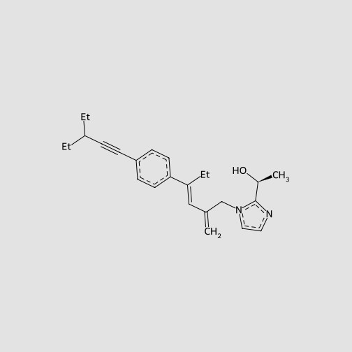 C=C(/C=C(\CC)c1ccc(C#CC(CC)CC)cc1)Cn1ccnc1[C@H](C)O